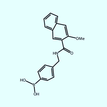 COc1cc2ccccc2cc1C(=O)NCc1ccc(B(O)O)cc1